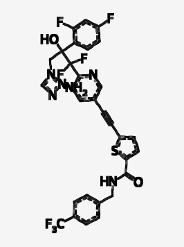 Nn1ncn1CC(O)(c1ccc(F)cc1F)C(F)(F)c1ccc(C#Cc2ccc(C(=O)NCc3ccc(C(F)(F)F)cc3)s2)cn1